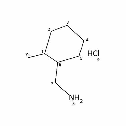 CC1CCCCC1CN.Cl